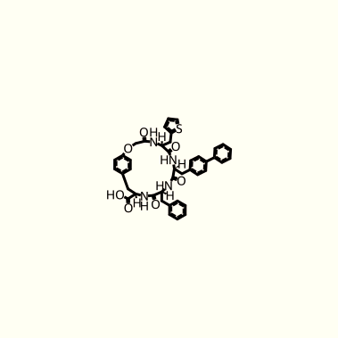 O=C1COc2ccc(cc2)C[C@@H](C(=O)O)NC(=O)[C@@H](Cc2ccccc2)NC(=O)[C@H](Cc2ccc(-c3ccccc3)cc2)NC(=O)[C@@H](Cc2cccs2)N1